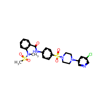 CN(c1ccccc1C(=O)Nc1ccc(S(=O)(=O)N2CCN(c3cncc(Cl)c3)CC2)cc1)S(C)(=O)=O